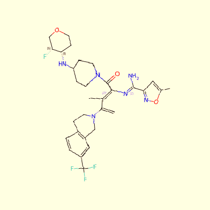 C=C(/C(C)=C(\N=C(/N)c1cc(C)on1)C(=O)N1CCC(N[C@H]2CCOC[C@H]2F)CC1)N1CCc2ccc(C(F)(F)F)cc2C1